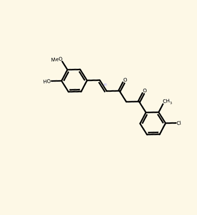 COc1cc(/C=C/C(=O)CC(=O)c2cccc(Cl)c2C)ccc1O